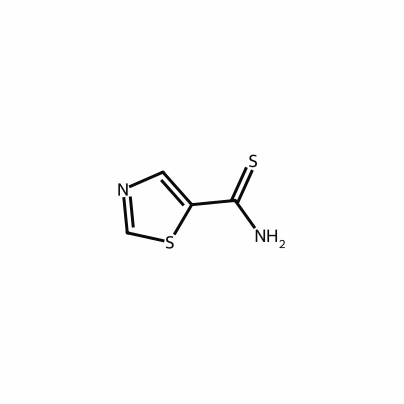 NC(=S)c1cncs1